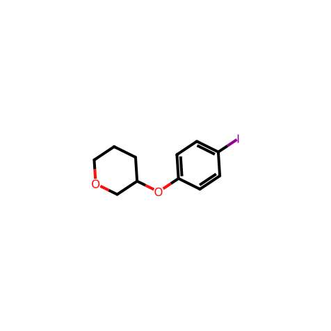 Ic1ccc(OC2CCCOC2)cc1